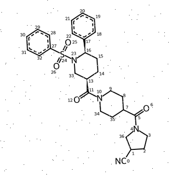 N#CC1CCN(C(=O)C2CCN(C(=O)[C@@H]3CC[C@H](c4ccccc4)N(S(=O)(=O)c4ccccc4)C3)CC2)C1